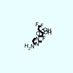 C=C1N=C(N)C=CN1[C@@H]1O[C@@](CO)(CC(F)F)[C@@H](O)[C@H]1F